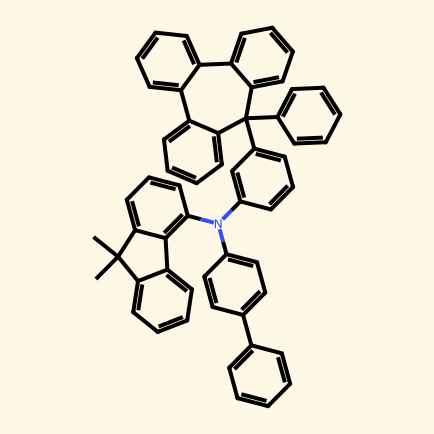 CC1(C)c2ccccc2-c2c(N(c3ccc(-c4ccccc4)cc3)c3cccc(C4(c5ccccc5)c5ccccc5-c5ccccc5-c5ccccc54)c3)cccc21